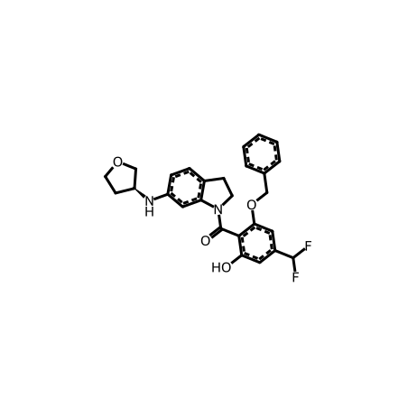 O=C(c1c(O)cc(C(F)F)cc1OCc1ccccc1)N1CCc2ccc(N[C@H]3CCOC3)cc21